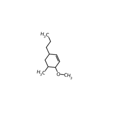 CCCC1C=CC(OC)C(C)C1